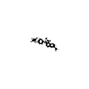 Cn1nc2c(ccc3cc(C=O)ccc32)c1-c1ccc(OC(F)(F)F)cc1